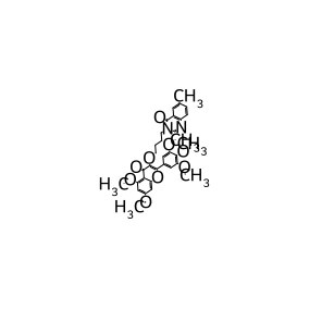 COc1cc(OC)c2c(=O)c(OCCCCn3cnc4ccc(C)cc4c3=O)c(-c3cc(OC)c(OC)c(OC)c3)oc2c1